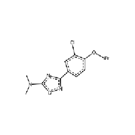 CC(C)Oc1ccc(-c2noc(N(C)C)n2)cc1Cl